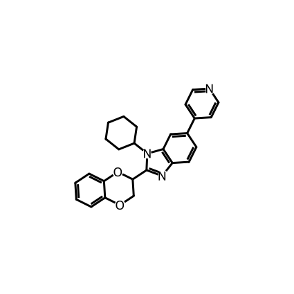 c1ccc2c(c1)OCC(c1nc3ccc(-c4ccncc4)cc3n1C1CCCCC1)O2